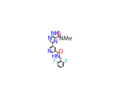 CNC(=O)c1nc(-c2cncc(C(=O)NCc3c(F)cccc3F)c2)cnc1N